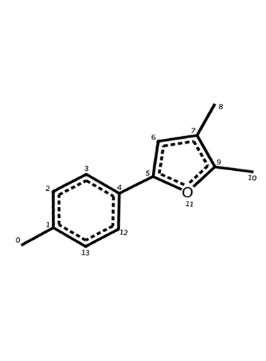 Cc1ccc(-c2cc(C)c(C)o2)cc1